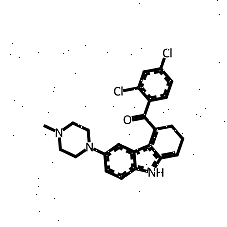 CN1CCN(c2ccc3[nH]c4c(c3c2)=C(C(=O)c2ccc(Cl)cc2Cl)CCC=4)CC1